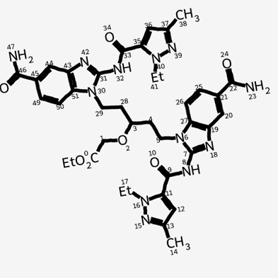 CCOC(=O)COC(CCn1c(NC(=O)c2cc(C)nn2CC)nc2cc(C(N)=O)ccc21)CCn1c(NC(=O)c2cc(C)nn2CC)nc2cc(C(N)=O)ccc21